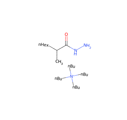 CCCCCCC(C)C(=O)NN.CCCC[N+](CCCC)(CCCC)CCCC